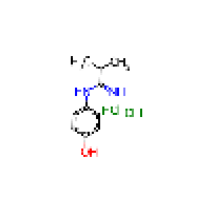 CC(C)C(=N)Nc1ccc(O)cc1.Cl.Cl